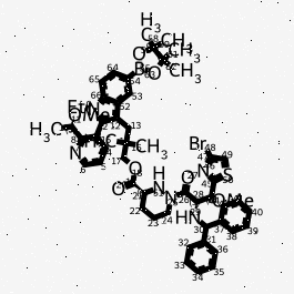 CCn1c(-c2cccnc2[C@H](C)OC)c(CC(C)(C)COC(=O)[C@@H]2CCCN(C(=O)[C@@H](NC(c3ccccc3)c3ccccc3)[C@H](OC)c3nc(Br)cs3)N2)c2cc(B3OC(C)(C)C(C)(C)O3)ccc21